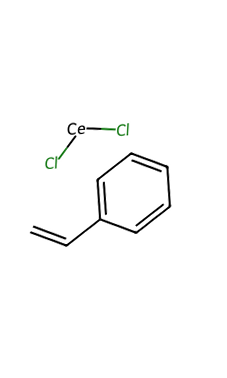 C=Cc1ccccc1.[Cl][Ce][Cl]